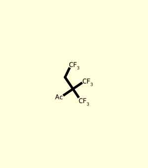 CC(=O)C(CC(F)(F)F)(C(F)(F)F)C(F)(F)F